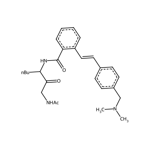 CCCCC(NC(=O)c1ccccc1C=Cc1ccc(CN(C)C)cc1)C(=O)CNC(C)=O